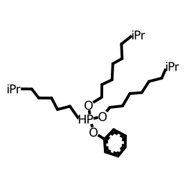 CC(C)CCCCCCO[PH](CCCCCCC(C)C)(OCCCCCCC(C)C)Oc1ccccc1